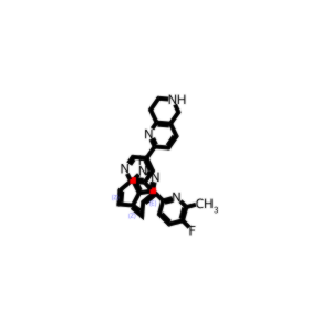 Cc1nc(-c2n[nH]cc2C2=C\C=C\c3cc(-c4ccc5c(n4)CCNC5)cnc3/C=C\2)ccc1F